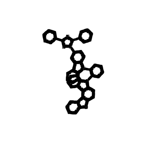 c1ccc(-c2nc(-c3ccccc3)n(-c3ccc4c(c3)c3ccccc3n4-c3ccccc3-n3c4ccccc4c4c5c(ccc43)oc3ccccc35)n2)cc1